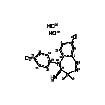 CC1(C)N=Nc2cc(Cl)ccc2N(c2ccc(Cl)cc2)C1=N.Cl.Cl